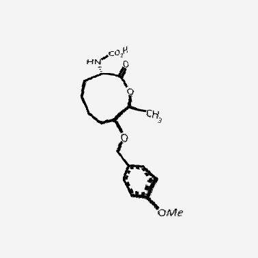 COc1ccc(COC2CCCC[C@H](NC(=O)O)C(=O)OC2C)cc1